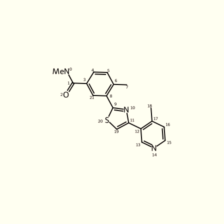 CNC(=O)c1ccc(C)c(-c2nc(-c3cnccc3C)cs2)c1